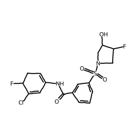 O=C(NC1=CCC(F)C(Cl)=C1)c1cccc(S(=O)(=O)N2CC(O)C(F)C2)c1